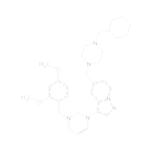 COc1ccc(CN2CC=CN(c3cnn4ccc(CN5CCN(CC6CCCCC6)CC5)cc34)C2)c(OC)c1